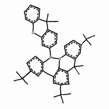 CC(C)(C)c1ccc2c(c1)-c1cc(C(C)(C)C)cc3c1N(B2c1ccc2c(c1)Oc1ccccc1C2(C)C)c1ccc(C(C)(C)C)cc1C3(C)C